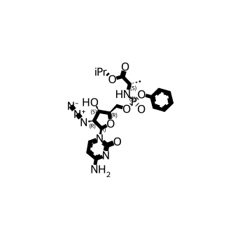 CC(C)OC(=O)[C@H](C)N[P@](=O)(OC[C@H]1O[C@@H](n2ccc(N)nc2=O)[C@H](N=[N+]=[N-])[C@@H]1O)Oc1ccccc1